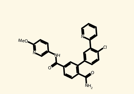 COc1ccc(NC(=O)c2ccc(C(N)=O)c(-c3ccc(Cl)c(-c4ccccn4)c3)c2)cn1